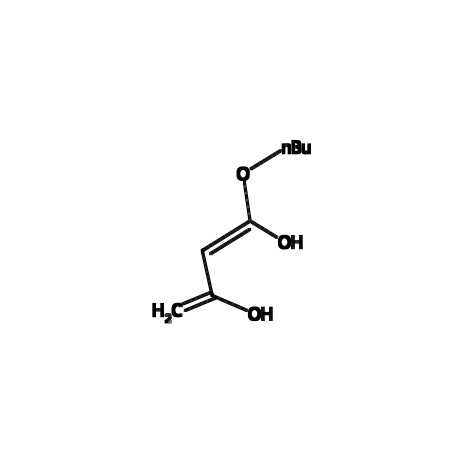 C=C(O)/C=C(\O)OCCCC